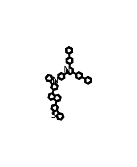 c1ccc(-c2ccc(-c3cc(-c4ccc(-c5ccccc5)cc4)nc(-c4ccc(-n5c6ccccc6c6cc(-c7cccc8c(-c9ccc%10sc%11ccccc%11c%10c9)cccc78)ccc65)cc4)c3)cc2)cc1